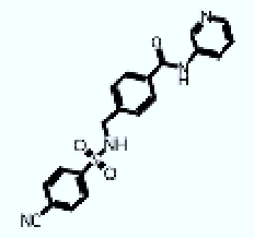 N#Cc1ccc(S(=O)(=O)NCc2ccc(C(=O)Nc3cccnc3)cc2)cc1